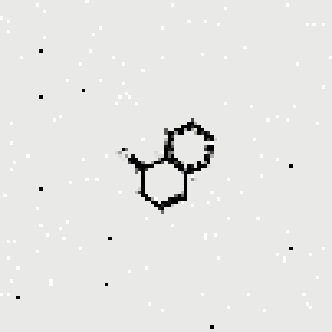 O=C1CC=Cc2[c]c[c]cc21